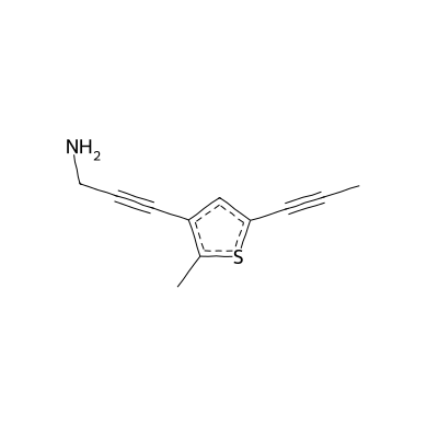 CC#Cc1cc(C#CCN)c(C)s1